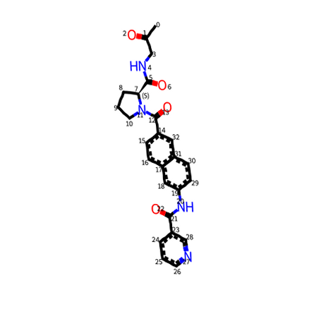 CC(=O)CNC(=O)[C@@H]1CCCN1C(=O)c1ccc2cc(NC(=O)c3cccnc3)ccc2c1